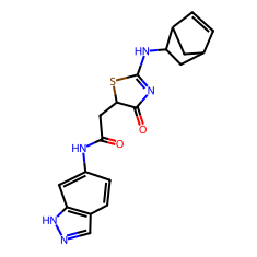 O=C(CC1SC(NC2CC3C=CC2C3)=NC1=O)Nc1ccc2cn[nH]c2c1